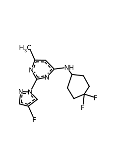 Cc1cc(NC2CCC(F)(F)CC2)nc(-n2cc(F)cn2)n1